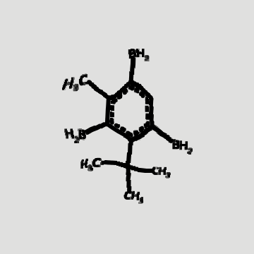 Bc1cc(B)c(C(C)(C)C)c(B)c1C